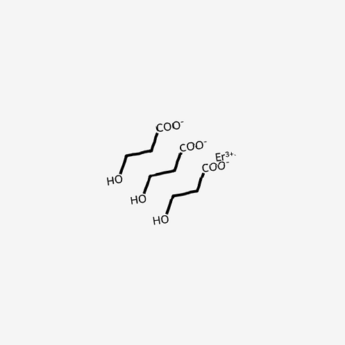 O=C([O-])CCO.O=C([O-])CCO.O=C([O-])CCO.[Er+3]